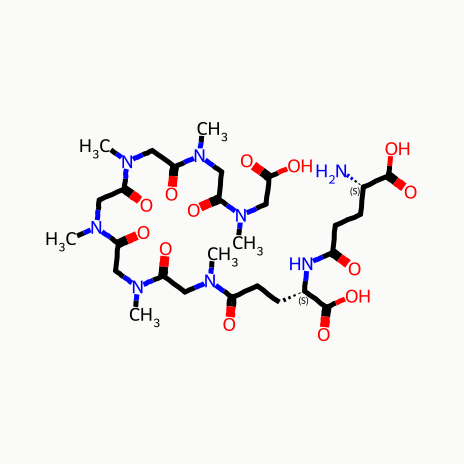 CN(CC(=O)O)C(=O)CN(C)C(=O)CN(C)C(=O)CN(C)C(=O)CN(C)C(=O)CN(C)C(=O)CC[C@H](NC(=O)CC[C@H](N)C(=O)O)C(=O)O